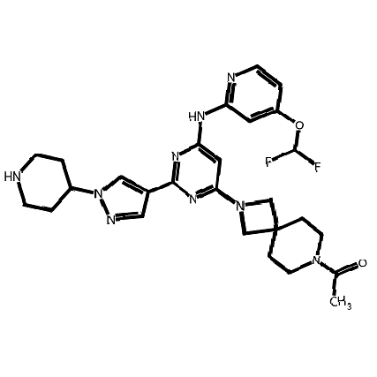 CC(=O)N1CCC2(CC1)CN(c1cc(Nc3cc(OC(F)F)ccn3)nc(-c3cnn(C4CCNCC4)c3)n1)C2